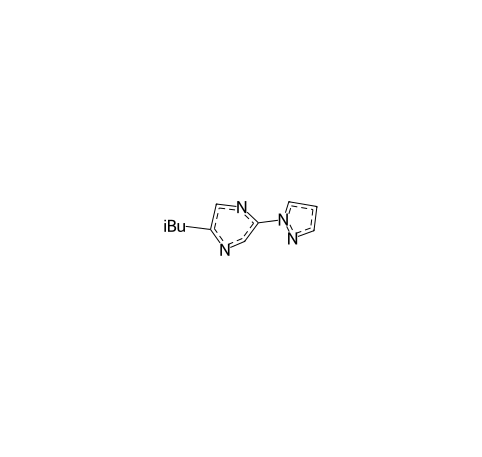 CCC(C)c1cnc(-n2cccn2)cn1